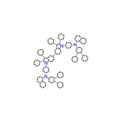 c1ccc(-c2ccc(N(c3ccc(-n4c(-c5ccccc5)c(-c5ccccc5)c5cc(-c6ccc7c(c6)c(-c6ccccc6)c(-c6ccccc6)n7-c6ccc(N(c7ccc(-c8ccccc8)c(-c8ccccc8)c7)c7cccc8ccccc78)cc6)ccc54)cc3)c3cccc4ccccc34)cc2-c2ccccc2)cc1